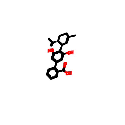 C=C(C)[C@@H]1CCC(C)=C[C@H]1c1c(O)cc(-c2ccccc2C(=O)O)cc1O